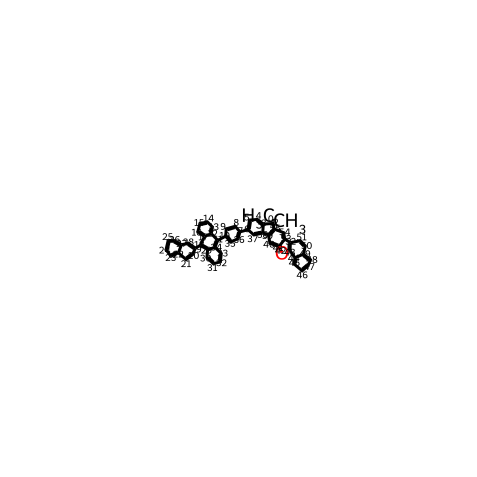 CC1(C)c2ccc(-c3ccc(-c4c5ccccc5c(-c5ccc6ccccc6c5)c5ccccc45)cc3)cc2-c2cc3oc4c5ccccc5ccc4c3cc21